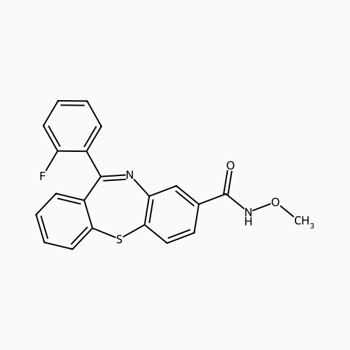 CONC(=O)c1ccc2c(c1)N=C(c1ccccc1F)c1ccccc1S2